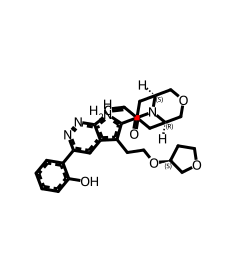 C=CC(=O)N1[C@@H]2COC[C@H]1CC(c1[nH]c3nnc(-c4ccccc4O)cc3c1CCO[C@H]1CCOC1)C2